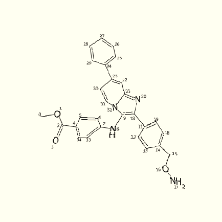 COC(=O)c1ccc(Nc2c(-c3ccc(CON)cc3)nc3cc(-c4ccccc4)ccn23)cc1